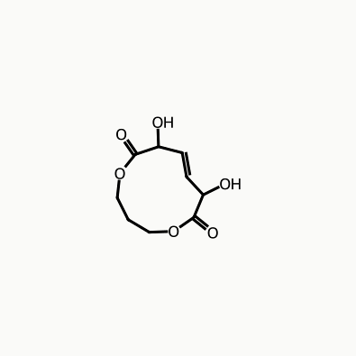 O=C1OCCCOC(=O)C(O)/C=C/C1O